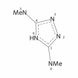 CNc1nnc(NC)[nH]1